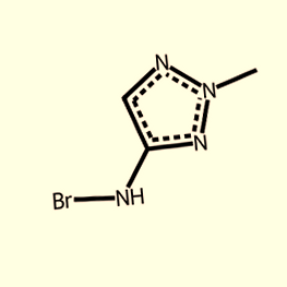 Cn1ncc(NBr)n1